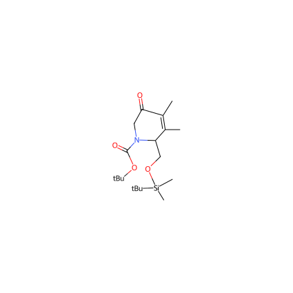 CC1=C(C)C(CO[Si](C)(C)C(C)(C)C)N(C(=O)OC(C)(C)C)CC1=O